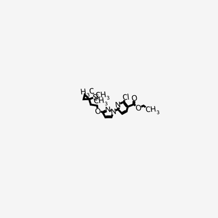 CCOC(=O)c1ccc(-n2ccc(OCCC3([Si](C)(C)C)CC3)n2)nc1Cl